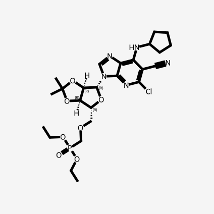 CCOP(=O)(COC[C@H]1O[C@@H](n2cnc3c(NC4CCCC4)c(C#N)c(Cl)nc32)[C@@H]2OC(C)(C)O[C@@H]21)OCC